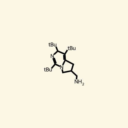 CC(C)(C)C1=NC(C(C)(C)C)C(C(C)(C)C)=C2CC(CN)CN12